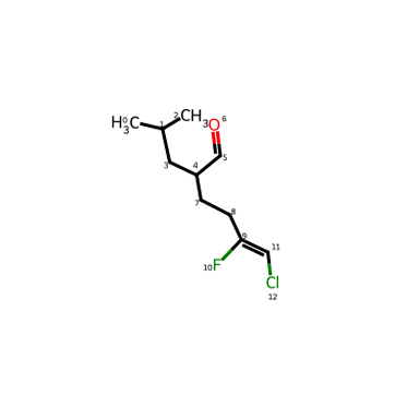 CC(C)CC(C=O)CC/C(F)=C/Cl